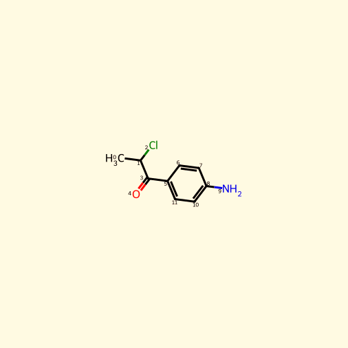 CC(Cl)C(=O)c1ccc(N)cc1